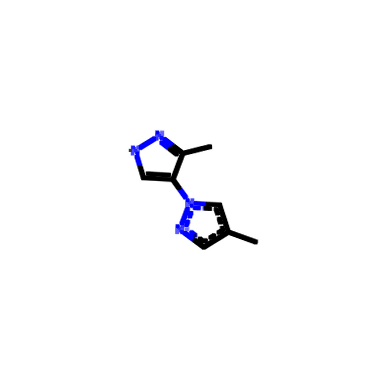 CC1=N[N]C=C1n1cc(C)cn1